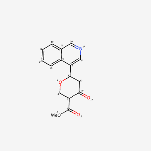 COC(=O)C1COC(c2cncc3ccccc23)CC1=O